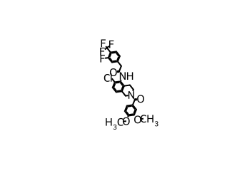 COc1ccc(C(=O)N2CCc3c(ccc(Cl)c3NC(=O)Cc3ccc(C(F)(F)F)c(F)c3)C2)cc1OC